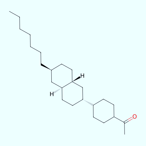 CCCCCCC[C@H]1CC[C@@H]2C[C@H](C3CCC(C(C)=O)CC3)CC[C@H]2C1